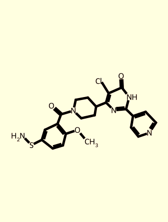 COc1ccc(SN)cc1C(=O)N1CCC(c2nc(-c3ccncc3)[nH]c(=O)c2Cl)CC1